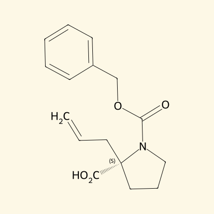 C=CC[C@]1(C(=O)O)CCCN1C(=O)OCc1ccccc1